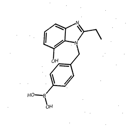 CCc1nc2cccc(O)c2n1Cc1ccc(B(O)O)cc1